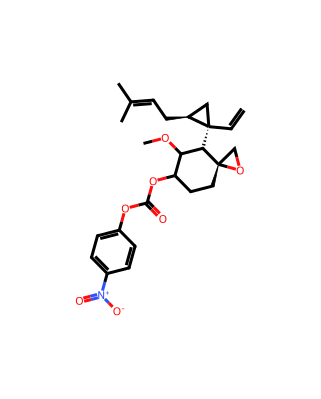 C=C[C@]1(C2C(OC)C(OC(=O)Oc3ccc([N+](=O)[O-])cc3)CC[C@]23CO3)C[C@@H]1CC=C(C)C